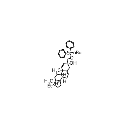 CCCC[Si](OC[C@]1(O)C=C[C@@]2(C)C(=CC[C@H]3[C@@H]4CC[C@H](CC)[C@@]4(C)CC[C@@H]32)C1)(c1ccccc1)c1ccccc1